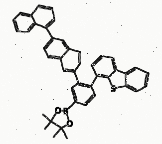 CC1(C)OB(c2ccc(-c3cccc4c3sc3ccccc34)c(-c3ccc4cc(-c5cccc6ccccc56)ccc4c3)c2)OC1(C)C